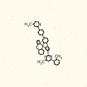 Cc1ccnc(-c2ccc(-c3ccc4c(c3)C3(c5ccccc5Sc5ccccc53)c3cc(-c5nc(C)cc(-c6ccccc6C)n5)ccc3-4)cc2)c1